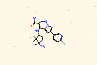 CC1(C)[C@H](Nc2c(C(N)=O)cnn3cc(-c4ccc(F)nc4)cc23)CC[C@]1(C)N